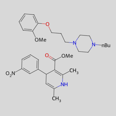 CCCCN1CCN(CCCOc2ccccc2OC)CC1.COC(=O)C1=C(C)NC(C)=CC1c1cccc([N+](=O)[O-])c1